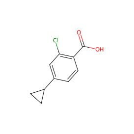 O=C(O)c1ccc(C2CC2)cc1Cl